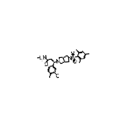 Cc1cc(C)c(S(=O)(=O)N2CC3CN(C(CC(N)=O)c4ccc(C)c(Cl)c4)CC3C2)c(C)c1